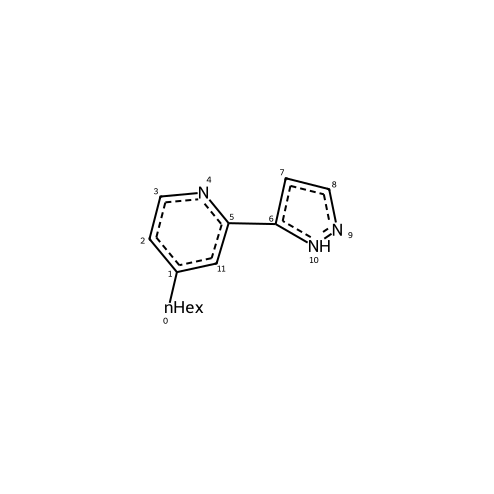 CCCCCCc1ccnc(-c2ccn[nH]2)c1